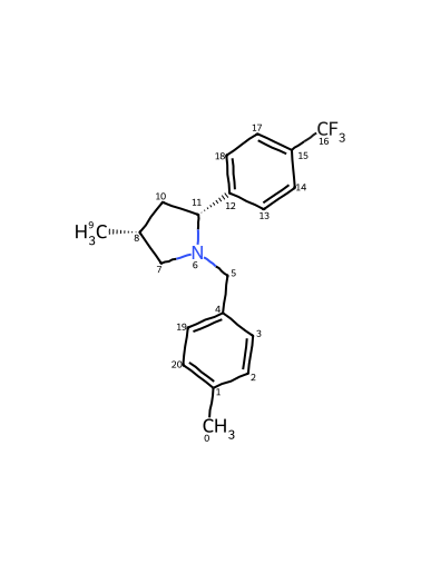 Cc1ccc(CN2C[C@H](C)C[C@@H]2c2ccc(C(F)(F)F)cc2)cc1